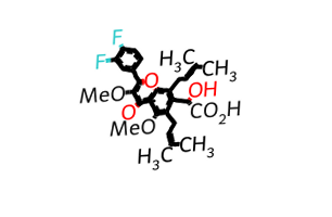 COc1c(-c2ccc(F)c(F)c2)oc2c(CC=C(C)C)c(C(O)C(=O)O)c(CC=C(C)C)c(OC)c2c1=O